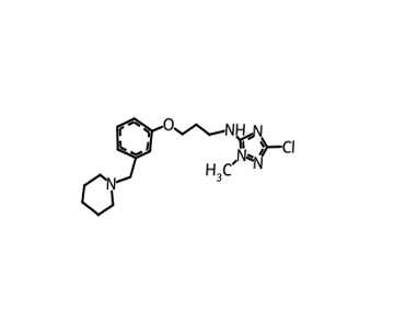 Cn1nc(Cl)nc1NCCCOc1cccc(CN2CCCCC2)c1